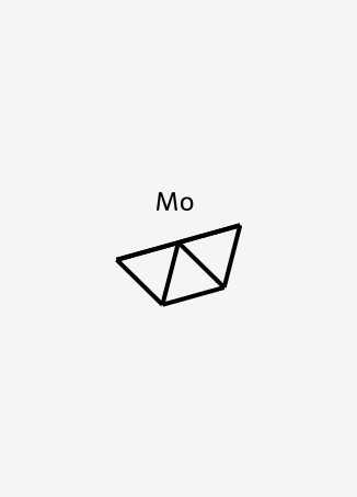 C12C3C4C1C234.[Mo]